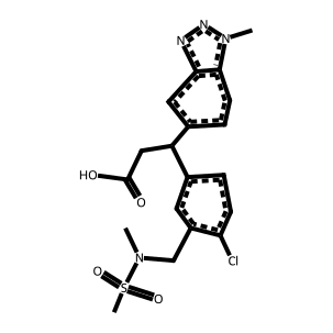 CN(Cc1cc(C(CC(=O)O)c2ccc3c(c2)nnn3C)ccc1Cl)S(C)(=O)=O